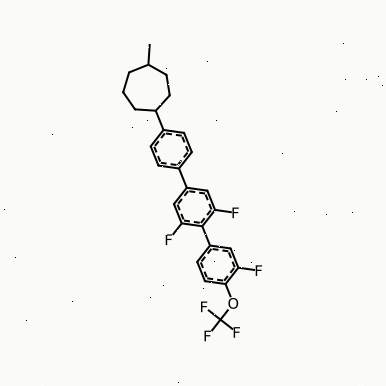 CC1CCCC(c2ccc(-c3cc(F)c(-c4ccc(OC(F)(F)F)c(F)c4)c(F)c3)cc2)CC1